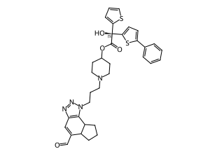 O=CC1=Cc2nnn(CCCN3CCC(OC(=O)[C@](O)(c4cccs4)c4ccc(-c5ccccc5)s4)CC3)c2C2CCCC12